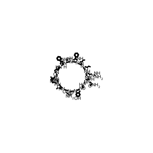 CCCC[C@H]1C(=O)N(C)[C@@H](CCCC)C(=O)N[C@@H](CCCNC(=N)N)C(=O)NC(C(=O)NCC(N)=O)CSCC(=O)N[C@@H](Cc2ccc(O)cc2)C(=O)N(C)[C@@H](C)C(=O)N[C@@H](CC(N)=O)C(=O)N[C@]2(C[C@@H]2CC)C(=O)N[C@@H](Cc2cnc[nH]2)C(=O)N[C@@H](CCC(C)C)C(=O)N2CCC[C@H]2C(=O)N[C@@H](Cc2c[nH]c3ccccc23)C(=O)N[C@@H](CO)C(=O)N[C@@H](Cc2c[nH]c3ccccc23)C(=O)N1C